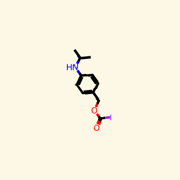 CC(C)Nc1ccc(COC(=O)I)cc1